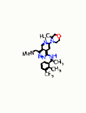 CNCc1nnc(N[C@H](C)c2cccc(C(F)(F)F)c2C)c2cc(N3CCOC[C@H]3C)ncc12